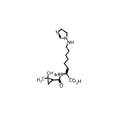 CC1(C)CC1C(=O)NC(=CCCCCCNN1C=NCC1)C(=O)O